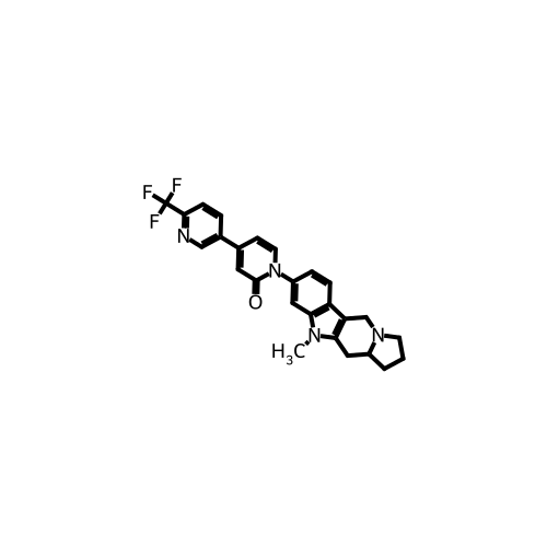 Cn1c2c(c3ccc(-n4ccc(-c5ccc(C(F)(F)F)nc5)cc4=O)cc31)CN1CCCC1C2